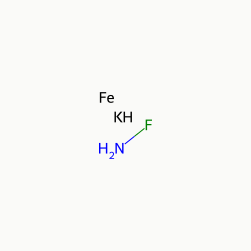 NF.[Fe].[KH]